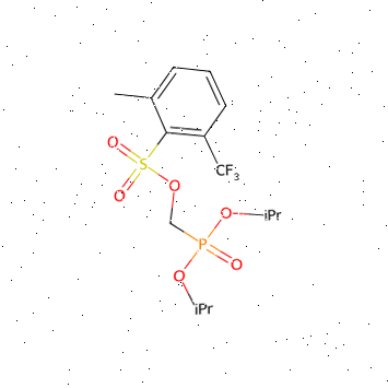 Cc1cccc(C(F)(F)F)c1S(=O)(=O)OCP(=O)(OC(C)C)OC(C)C